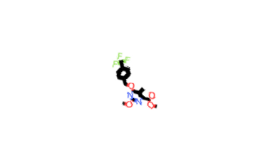 COC(=O)c1nc(OC)nc(OCc2ccc(C(F)(F)F)cc2)c1C